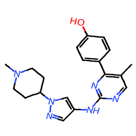 Cc1cnc(Nc2cnn(C3CCN(C)CC3)c2)nc1-c1ccc(O)cc1